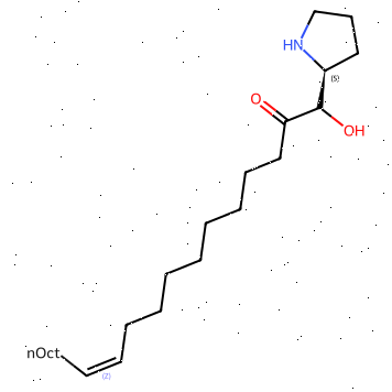 CCCCCCCC/C=C\CCCCCCCCC(=O)C(O)[C@@H]1CCCN1